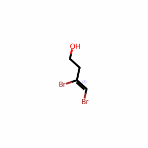 OCC/C(Br)=C/Br